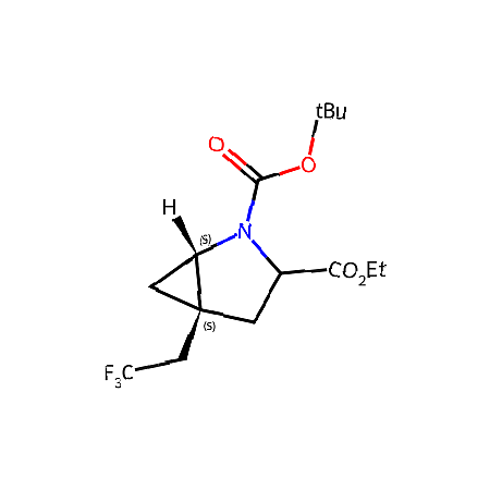 CCOC(=O)C1C[C@]2(CC(F)(F)F)C[C@@H]2N1C(=O)OC(C)(C)C